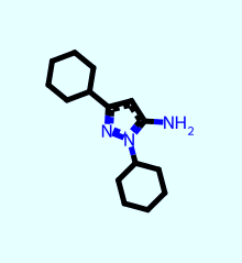 Nc1cc(C2CCCCC2)nn1C1CCCCC1